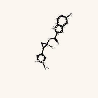 Cn1cc(C2C[C@]2(C)NC(=O)c2cc3cc(Cl)ccc3[nH]2)cn1